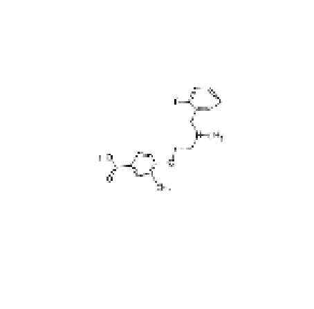 Cc1cc(C(=O)O)ccc1OCCN(C)Cc1ccccc1F